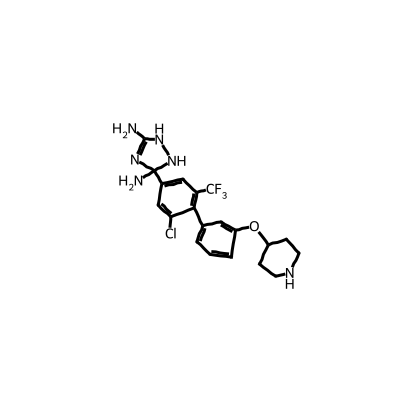 NC1=NC(N)(c2cc(Cl)c(-c3cccc(OC4CCNCC4)c3)c(C(F)(F)F)c2)NN1